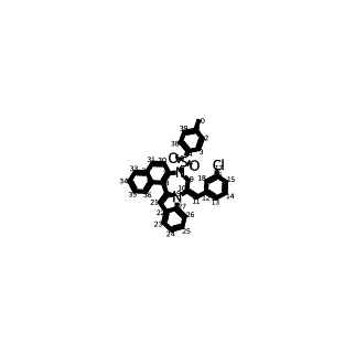 Cc1ccc(S(=O)(=O)N2CC(=Cc3cccc(Cl)c3)n3c(cc4ccccc43)-c3c2ccc2ccccc32)cc1